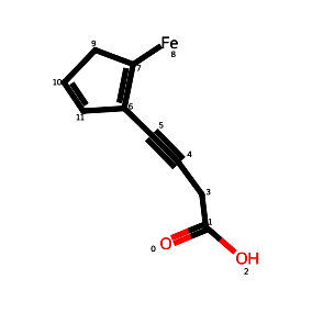 O=C(O)CC#CC1=[C]([Fe])CC=C1